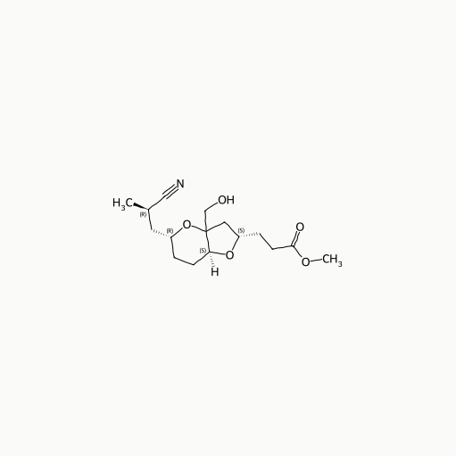 COC(=O)CC[C@H]1CC2(CO)O[C@@H](C[C@@H](C)C#N)CC[C@@H]2O1